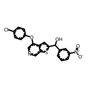 O=[N+]([O-])c1cccc(C(O)c2cc3c(Oc4ccc(Cl)cc4)cncc3s2)c1